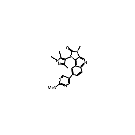 CNc1ncc(-c2ccc3ncc4c(c3c2)n(-c2c(C)nn(C)c2C)c(=O)n4C)cn1